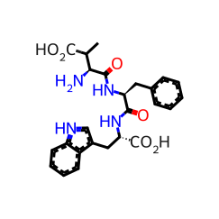 CC(C(=O)O)[C@H](N)C(=O)N[C@@H](Cc1ccccc1)C(=O)N[C@@H](Cc1c[nH]c2ccccc12)C(=O)O